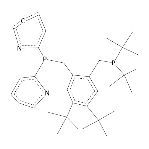 CC(C)(C)c1cc(CP(c2ccccn2)c2ccccn2)c(CP(C(C)(C)C)C(C)(C)C)cc1C(C)(C)C